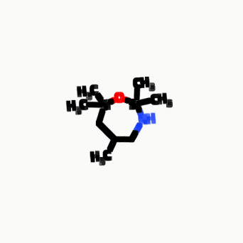 CC1CN[Si](C)(C)O[Si](C)(C)C1